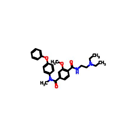 CCN(CC)CCNC(=O)c1ccc(C(=O)N(C)c2ccc(Oc3ccccc3)cc2)cc1OC